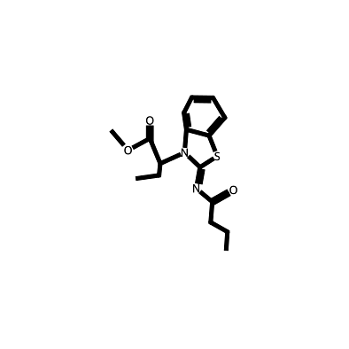 CCCC(=O)N=c1sc2ccccc2n1C(CC)C(=O)OC